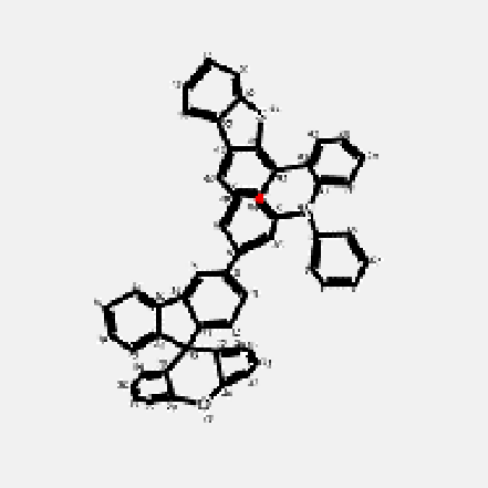 c1ccc(N(c2cccc(-c3ccc4c(c3)-c3ccccc3C43c4ccccc4Oc4ccccc43)c2)c2ccccc2-c2cccc3c2sc2ccccc23)cc1